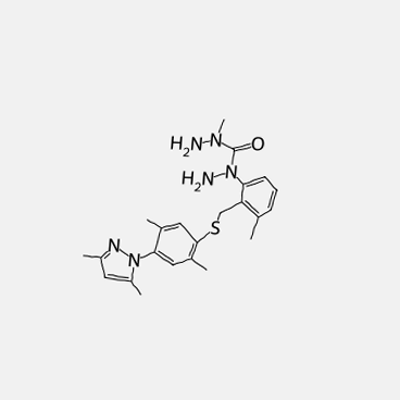 Cc1cc(C)n(-c2cc(C)c(SCc3c(C)cccc3N(N)C(=O)N(C)N)cc2C)n1